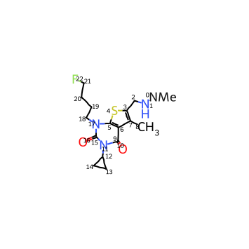 CNNCc1sc2c(c1C)c(=O)n(C1CC1)c(=O)n2CCCCF